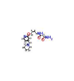 NC(=O)CC(=O)NC/C=C\COc1cc(CN2CCCCC2)ccn1